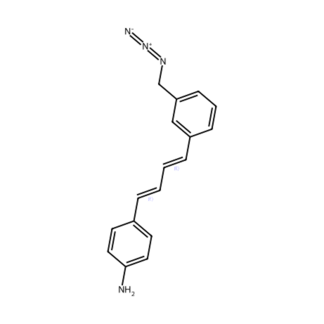 [N-]=[N+]=NCc1cccc(/C=C/C=C/c2ccc(N)cc2)c1